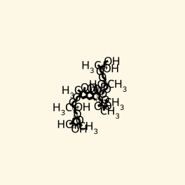 CO[C@H](C(=O)C(C)=O)[C@@H]1Cc2cc3cc(OCOC(C)[C@@H](O)CO[C@H]4CC(O)[C@H](O)C(C)O4)c(C)c(O)c3c(O)c2C(=O)[C@H]1OCOC(C)[C@@H](O)COCOC(C)[C@H](O)CO